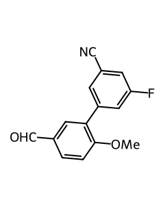 COc1ccc(C=O)cc1-c1cc(F)cc(C#N)c1